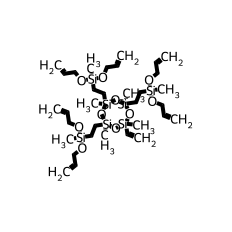 C=CCO[Si](C)(CC[Si]1(C)O[Si](C)(C=C)O[Si](C)(CC[Si](C)(OCC=C)OCC=C)O[Si](C)(CC[Si](C)(OCC=C)OCC=C)O1)OCC=C